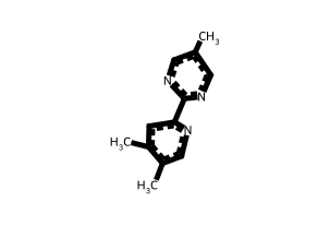 Cc1cnc(-c2cc(C)c(C)cn2)nc1